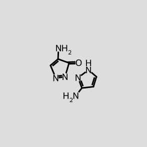 NC1=CN=NC1=O.Nc1cc[nH]n1